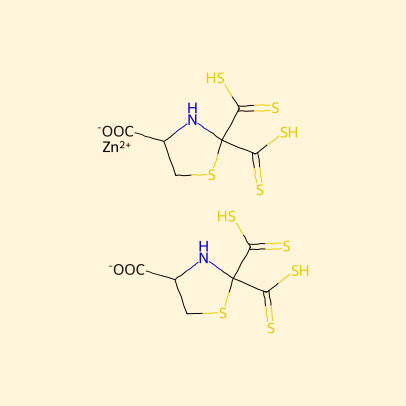 O=C([O-])C1CSC(C(=S)S)(C(=S)S)N1.O=C([O-])C1CSC(C(=S)S)(C(=S)S)N1.[Zn+2]